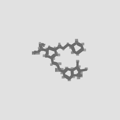 CCCN(CCC)c1cc(OCCc2ccccn2)nc(/C=N/Nc2ccc3[nH]c(C)c(C)c3c2)n1